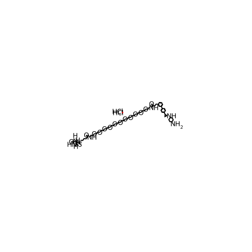 Cl.Cl.N[C@H]1CC[C@H](NC2CC2c2ccc(-c3cccc(CCC(=O)NCCOCCOCCOCCOCCOCCOCCOCCOCCOCCOCCOCCNC(=O)CCCC[C@@H]4SC[C@@H]5NC(=O)N[C@@H]54)c3)cc2)CC1